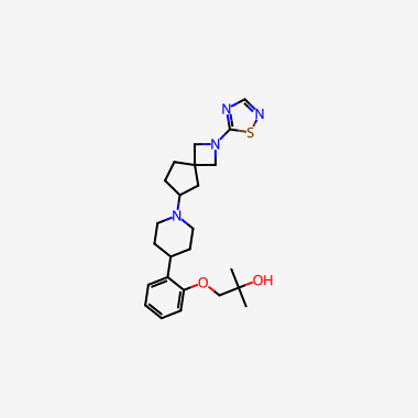 CC(C)(O)COc1ccccc1C1CCN(C2CCC3(C2)CN(c2ncns2)C3)CC1